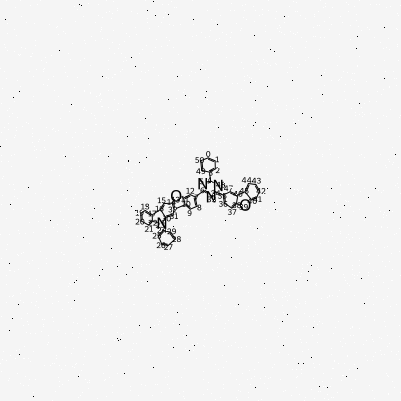 c1ccc(-c2nc(-c3ccc4c(c3)oc3cc5c6ccccc6n(-c6ccccc6)c5cc34)nc(-c3ccc4oc5ccccc5c4c3)n2)cc1